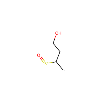 [CH2]C(CCO)[S+]=O